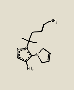 CC(C)(CCCN)n1ncc(N)c1N1CC=CC1